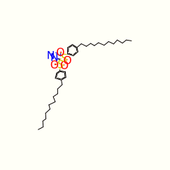 CCCCCCCCCCCCc1ccc(S(=O)(=O)C(=[N+]=[N-])S(=O)(=O)c2ccc(CCCCCCCCCCCC)cc2)cc1